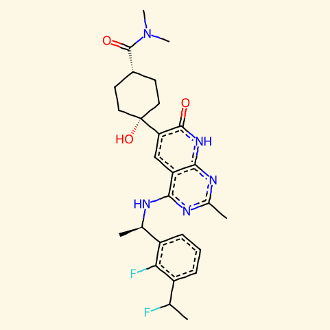 Cc1nc(N[C@H](C)c2cccc(C(C)F)c2F)c2cc([C@]3(O)CC[C@@H](C(=O)N(C)C)CC3)c(=O)[nH]c2n1